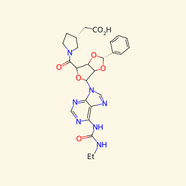 CCNC(=O)Nc1ncnc2c1ncn2C1OC(C(=O)N2CC[C@H](CC(=O)O)C2)C2O[C@H](c3ccccc3)OC21